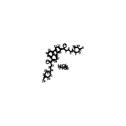 CC1CCN(CCCC(=O)c2ccc3c(c2)-c2ccc(C(=O)CCCN4CCC(C)CC4)c4cccc-3c24)CC1.Cl.Cl